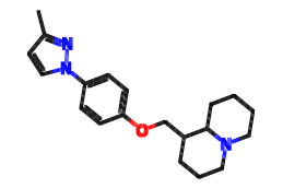 Cc1ccn(-c2ccc(OCC3CCCN4CCCCC34)cc2)n1